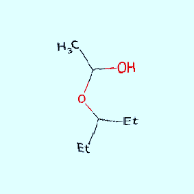 CCC(CC)OC(C)O